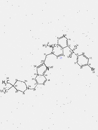 C=CN(/C=C\c1c(C)cncc1S(=O)(=O)c1ccc(Br)cc1)Cc1cn2cc(CN3CCC(C)(C)CC3)ccc2n1